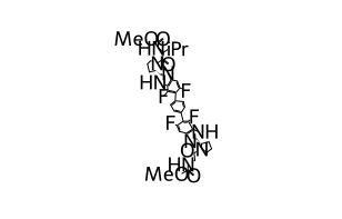 COC(=O)NCC(=O)N1CCC[C@H]1c1nc2cc(F)c(-c3ccc(-c4c(F)cc5nc([C@@H]6CCCN6C(=O)C(NC(=O)OC)C(C)C)[nH]c5c4F)cc3)c(F)c2[nH]1